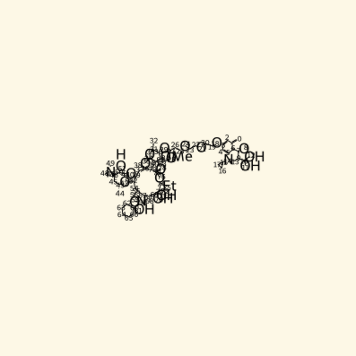 C=C/C=C(\C=C1/CC(=O)C(C(O)O)CN1C1CC1)OCCOCCOCCC(=O)OC1[C@H](C)OC(O[C@@H]2[C@@H](C)[C@H](OC3O[C@H](C)CC(N(C)C)C3O)[C@H](C)C[C@H](C)/C(=N\OC3(O)CCCCC3)[C@H](C)[C@@H](O)C(C)(O)C(CC)OC(=O)[C@@H]2C)CC1(C)OC